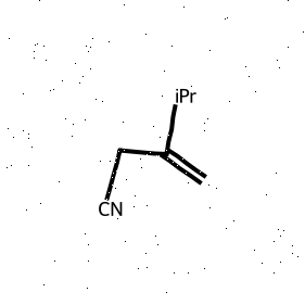 C=C(CC#N)C(C)C